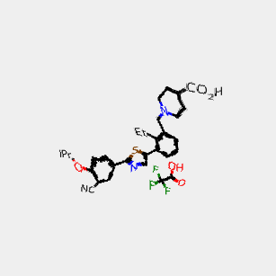 CCc1c(CN2CCC(C(=O)O)CC2)cccc1-c1cnc(-c2ccc(OC(C)C)c(C#N)c2)s1.O=C(O)C(F)(F)F